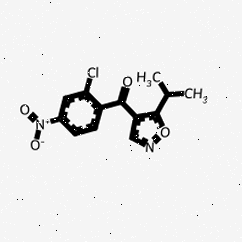 CC(C)c1oncc1C(=O)c1ccc([N+](=O)[O-])cc1Cl